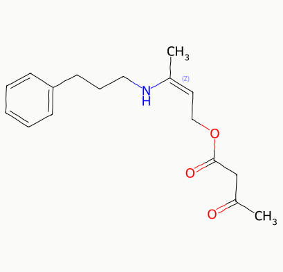 CC(=O)CC(=O)OC/C=C(/C)NCCCc1ccccc1